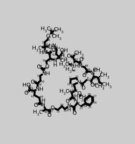 CC[C@H](C)[C@@H]([C@@H](CC(=O)N1CCC[C@H]1[C@H](OC)[C@@H](C)C(=O)N[C@@H](Cc1ccccc1)C(=O)NCCCOC(=O)C(C)NC(=O)CCC(NC(=O)CCNC(=O)OCC(NC(C)(CO)CCN)C(=O)NC(C)(C)CCOC(C)(C)C)C(=O)O)OC)N(C)C(=O)CNC(=O)C(C(C)C)N(C)C